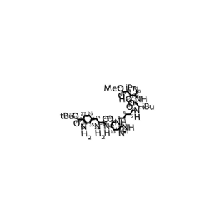 CC[C@H](C)[C@H](NC(=O)CCCCNC(=O)C(Cc1c[nH]cn1)NC(=O)C(N)Cc1ccc(C(=O)OC(C)(C)C)c(N)c1)C(=O)NC(CC(C)C)[C@@H](O)CC(=O)OC